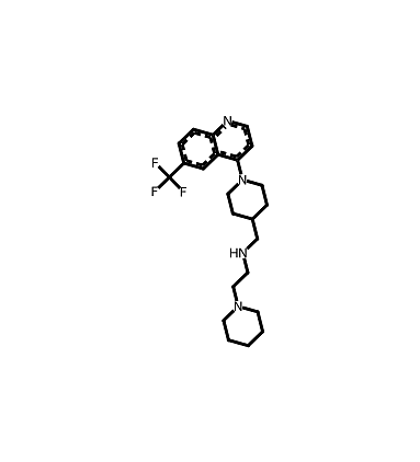 FC(F)(F)c1ccc2nccc(N3CCC(CNCCN4CCCCC4)CC3)c2c1